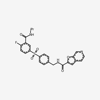 CC(C)NC(=O)c1cc(S(=O)(=O)c2ccc(CNC(=O)c3cc4ccncc4o3)cc2)ccc1F